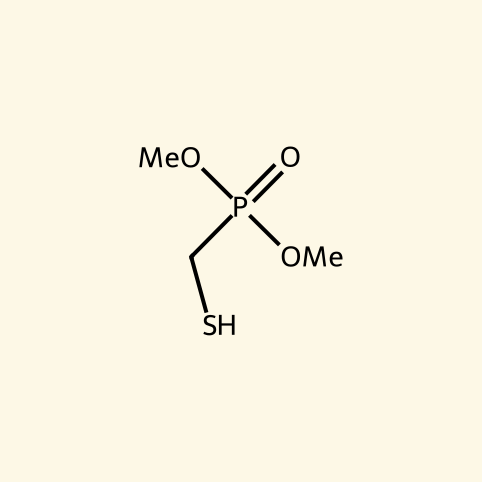 COP(=O)(CS)OC